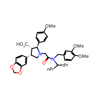 CCCC(CCC)N(Cc1ccc(OC)c(OC)c1)C(=O)CN1C[C@H](c2ccc3c(c2)OCO3)[C@H](C(=O)O)[C@H]1c1ccc(OC)cc1